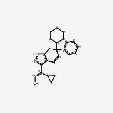 O/N=C(/c1n[nH]c2c1C=CC(c1ccccc1)(C1CCCCC1)C2)C1CC1